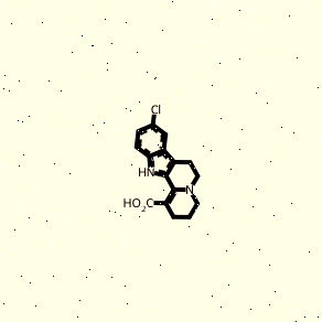 O=C(O)C1=C2c3[nH]c4ccc(Cl)cc4c3CCN2CCC1